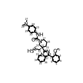 COc1ccccc1-c1nc([C@@]2(CSS)CCCN(C(=O)Nc3ccc(N(C)C)cc3)C2)n2ccccc12